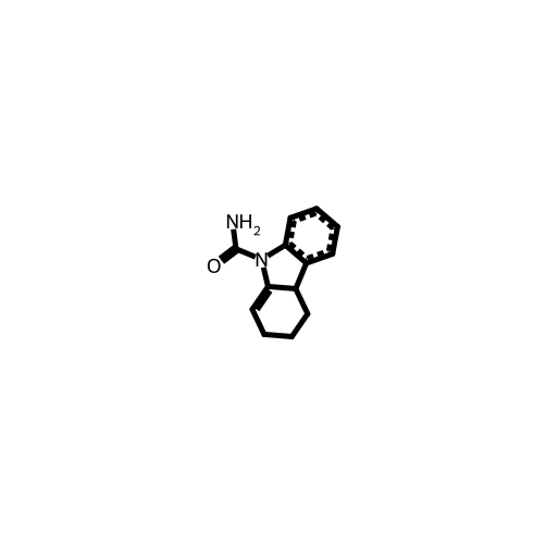 NC(=O)N1C2=CCCCC2c2ccccc21